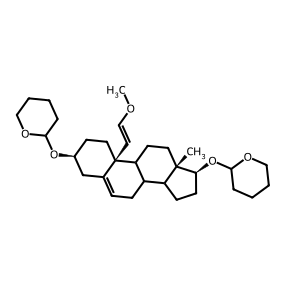 COC=C[C@]12CC[C@H](OC3CCCCO3)CC1=CCC1C2CC[C@@]2(C)C1CC[C@@H]2OC1CCCCO1